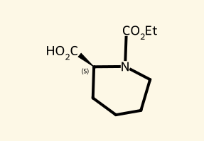 CCOC(=O)N1CCCC[C@H]1C(=O)O